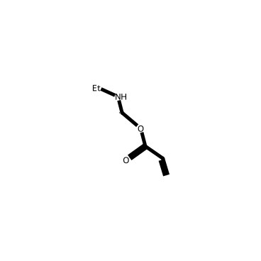 C=CC(=O)O[CH]NCC